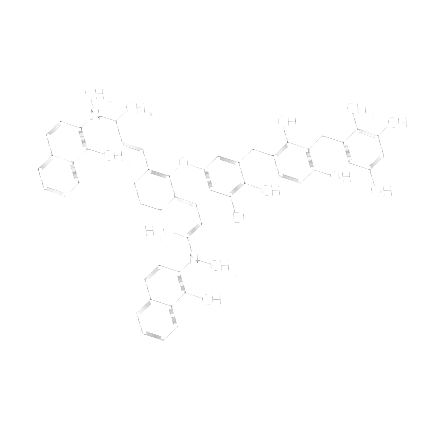 CCc1cc(OC2=C(/C=C/C(C)N(C)c3ccc4ccccc4c3C)CCC/C2=C\C=C(/C)N(C)c2ccc3ccccc3c2C)cc(Cc2ccc(O)c(Cc3cc(O)cc(C)c3C)c2C)c1C